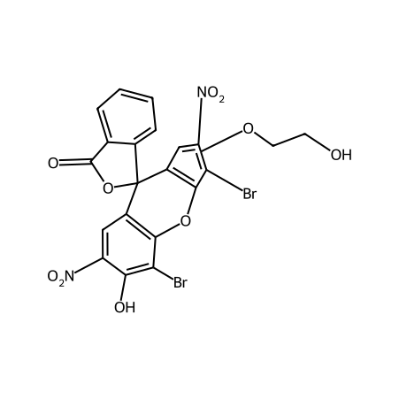 O=C1OC2(c3ccccc31)c1cc([N+](=O)[O-])c(O)c(Br)c1Oc1c2cc([N+](=O)[O-])c(OCCO)c1Br